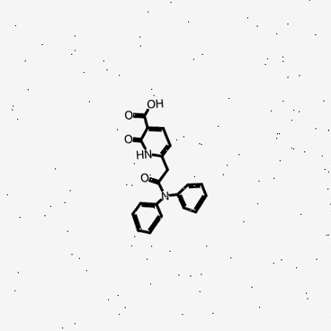 O=C(O)c1ccc(CC(=O)N(c2ccccc2)c2ccccc2)[nH]c1=O